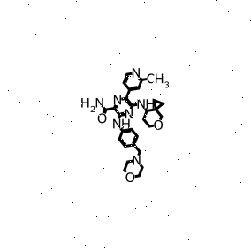 Cc1cc(-c2nc(C(N)=O)c(Nc3ccc(CN4CCOCC4)cc3)nc2NC2CCOCC23CC3)ccn1